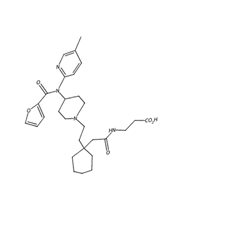 Cc1ccc(N(C(=O)c2ccco2)C2CCN(CCC3(CC(=O)NCCC(=O)O)CCCCC3)CC2)nc1